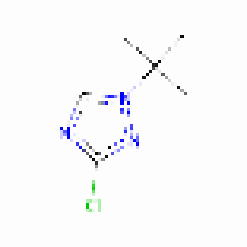 CC(C)(C)n1cnc(Cl)n1